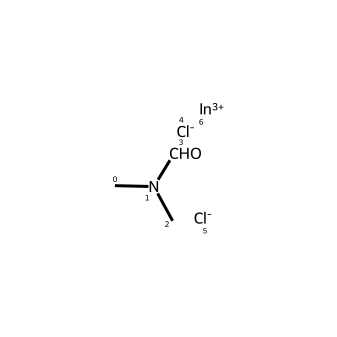 CN(C)C=O.[Cl-].[Cl-].[In+3]